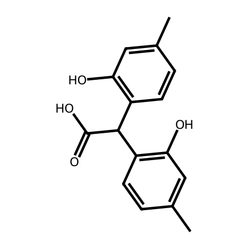 Cc1ccc(C(C(=O)O)c2ccc(C)cc2O)c(O)c1